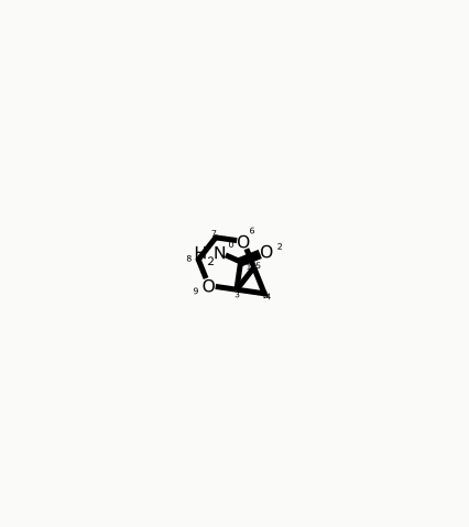 NC(=O)C12[CH]C1OCCO2